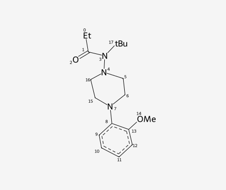 CCC(=O)N(N1CCN(c2ccccc2OC)CC1)C(C)(C)C